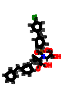 O=C(O)CN([C@]1(C(=O)O)C[C@H]1c1cccc(Cc2ccccc2)c1)S(=O)(=O)c1ccc(-c2ccc(Cl)cc2)cc1